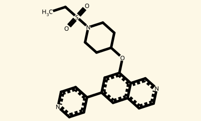 CCS(=O)(=O)N1CCC(Oc2cc(-c3ccncc3)cc3ccncc23)CC1